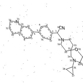 N#CC(c1ccc(-c2ccc3cccnc3c2)cc1)N1CCC2(CC1)CN(C1CC1)C(=O)CO2